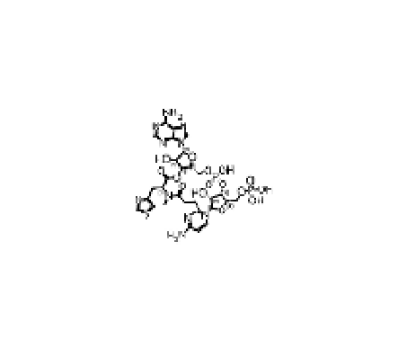 CCCC(=O)N(C)[C@@H](Cc1cscn1)C(=O)O[C@H]1[C@@H](O)[C@H](n2cnc3c(N)ncnc32)O[C@@H]1COP(=O)(O)O[C@H]1[C@@H](O)[C@H](N2C=CC(N)=NC2)O[C@@H]1COP(=O)(O)O